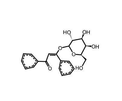 O=C(C=C(OC1O[C@H](CO)[C@H](O)[C@H](O)[C@H]1O)c1ccccc1)c1ccccc1